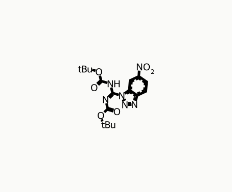 CC(C)(C)OC(=O)/N=C(/NC(=O)OC(C)(C)C)n1nnc2ccc([N+](=O)[O-])cc21